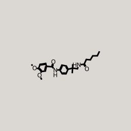 CCCCCC(=O)NCC(C)(C)c1ccc(NC(=O)c2ccc(OC)c(OC)c2)cc1